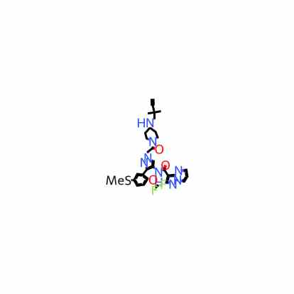 C#CC(C)(C)CNC1CCN(C(=O)Cn2cc(NC(=O)c3cnn4cccnc34)c(-c3cc(SC)ccc3OC(F)F)n2)CC1